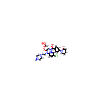 CN1CCN(CCN(C(=O)[C@H](CC(=O)O)NC(=O)c2ccc(N3CCCCC3=O)cc2)c2ccc(Cl)cn2)CC1